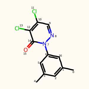 Cc1cc(C)cc(-n2ncc(Cl)c(Cl)c2=O)c1